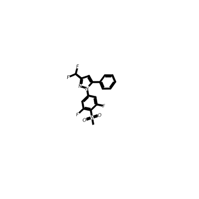 CS(=O)(=O)c1c(F)cc(-n2nc(C(F)F)cc2-c2ccccc2)cc1F